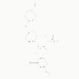 O=C(C1CCCN1)N(Cc1ccc(Cl)cc1Cl)c1ccc(Oc2ccc(F)cc2)cc1